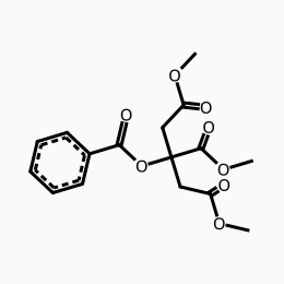 COC(=O)CC(CC(=O)OC)(OC(=O)c1ccccc1)C(=O)OC